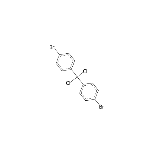 ClC(Cl)(c1ccc(Br)cc1)c1ccc(Br)cc1